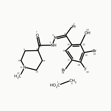 CC(=O)O.CC(C)C(=NNC(=O)C1CCN(C)CC1)c1cc(Br)c(F)c(Br)c1O